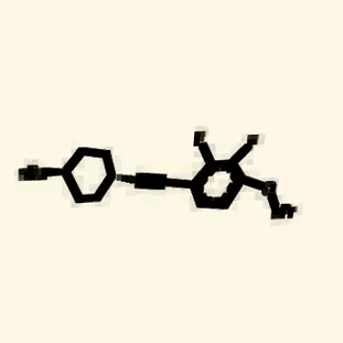 CCCC[C@H]1CC[C@H](C#Cc2ccc(OCCC)c(F)c2F)CC1